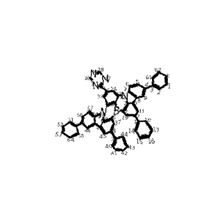 c1ccc(-c2ccc3c(c2)c2cc(-c4ccccc4)cc4c2n3-c2cc(-c3ncncn3)cc3c2B4c2cc(-c4ccccc4)cc4c5cc(-c6ccccc6)ccc5n-3c24)cc1